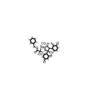 CC(C)(C[C@@H]1N[C@@H](C(=O)O)C(c2cccc(Cl)c2F)C1(C#N)c1ccc(Cl)cc1F)C(=O)OCc1ccccc1